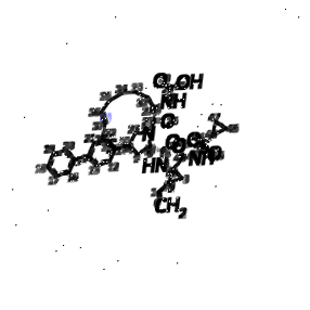 C=C[C@@H]1C[C@]1(NC(=O)[C@@H]1C[C@@]2(c3ccc(-c4ccccc4)cc3)CN1C(=O)[C@@H](NC(=O)O)CCCC/C=C/CS2)C(=O)NS(=O)(=O)C1CC1